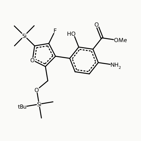 COC(=O)c1c(N)ccc(-c2c(CO[Si](C)(C)C(C)(C)C)oc([Si](C)(C)C)c2F)c1O